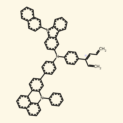 C=C/C=C(\C=C)c1ccc(N(c2ccc(-c3ccc4c(c3)N(c3ccccc3)c3cccc5cccc-4c35)cc2)c2ccc3c(c2)c2ccccc2n3-c2ccc3ccccc3c2)cc1